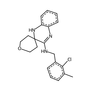 Cc1cccc(CNC2=Nc3ccccc3NC23CCOCC3)c1Cl